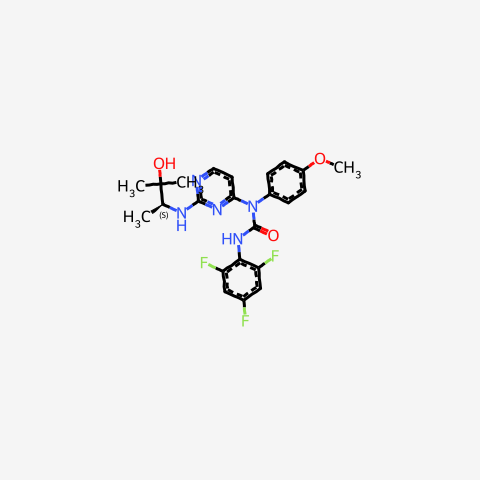 COc1ccc(N(C(=O)Nc2c(F)cc(F)cc2F)c2ccnc(N[C@@H](C)C(C)(C)O)n2)cc1